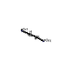 CCCCCCCC/C=C\CCCCCCCC(=O)NCCNCCNC(=O)CCCCCCC/C=C\CCCCCCCC